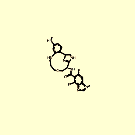 CNc1ccc2c(c1)NCCCCC[C@H](NC(=O)c1c(F)cc3c(ncn3C)c1F)C1=NC2CN1